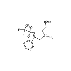 CCCCCCCCCCCC[S+](C)CC(=NS(=O)(=O)C(F)(F)C(F)(F)F)c1ccccc1